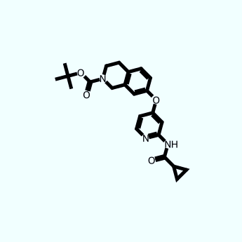 CC(C)(C)OC(=O)N1CCc2ccc(Oc3ccnc(NC(=O)C4CC4)c3)cc2C1